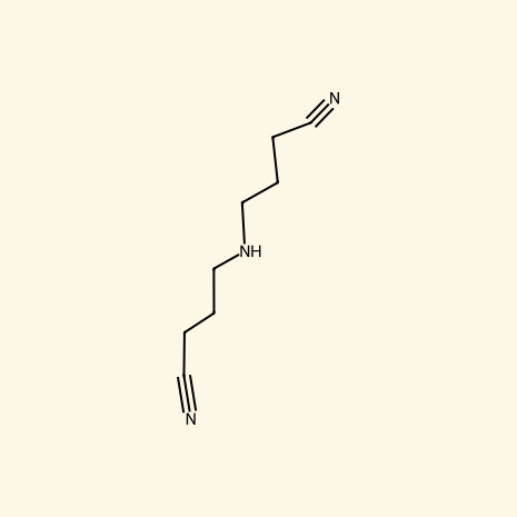 N#CCCCNCCCC#N